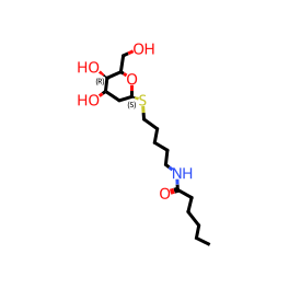 CCCCCC(=O)NCCCCCS[C@H]1CC(O)[C@@H](O)C(CO)O1